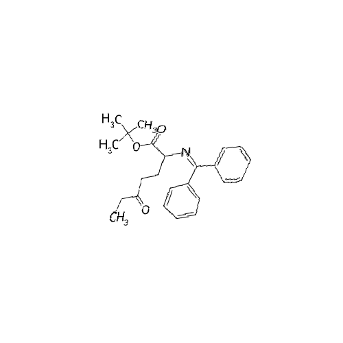 CCC(=O)CCC(N=C(c1ccccc1)c1ccccc1)C(=O)OC(C)(C)C